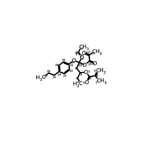 C=C(C)C(=O)OC(CC)CC(OCC)(OC(=O)C(=C)C)Oc1ccc(CCC)cc1